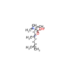 CCC(C/C=C(\C)CCC=C(C)C)(C(=O)O)N(C)C